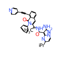 CC(C)c1ccn2nc(N)c(C(=O)N[C@@H](C)c3cc4cccc(C#Cc5ccncc5)c4c(=O)n3-c3ccccc3)c2n1